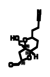 N#CCCC1CC[C@@H]2O[C@@H](C=O)C[C@]2(CO)O1